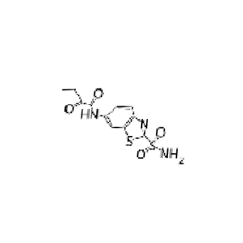 CCC(=O)C(=O)Nc1ccc2nc(S(N)(=O)=O)sc2c1